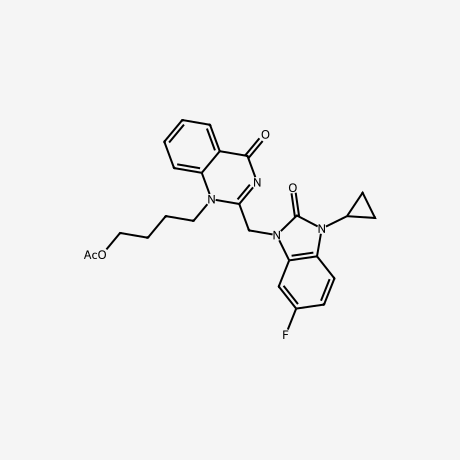 CC(=O)OCCCCn1c(Cn2c(=O)n(C3CC3)c3ccc(F)cc32)nc(=O)c2ccccc21